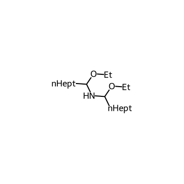 CCCCCCCC(NC(CCCCCCC)OCC)OCC